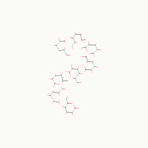 CCC1OC(OC2C(CO)OC(OC3C(CO)OC(O)C(O)C3O)C(O)C2O)C(O)C(O)C1OC1OC(CO)C(OC2OC(CO)C(OC3OC(CO)C(OC4OC(CO)C(OC5OC(CO)CC(O)C5O)C(O)C4O)C(O)C3O)C(O)C2O)C(O)C1O